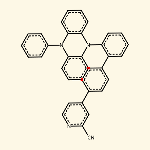 N#Cc1cc(-c2ccc(-c3ccccc3N3c4ccccc4N(c4ccccc4)c4ccccc43)cc2)ccn1